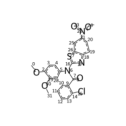 COc1ccc(N(C(=O)c2ccccc2Cl)c2nc3ccc([N+](=O)[O-])cc3s2)cc1OC